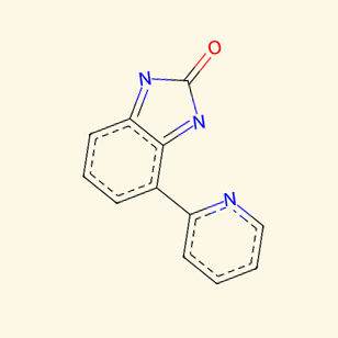 O=C1N=c2cccc(-c3ccccn3)c2=N1